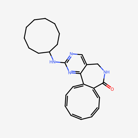 O=C1NCc2cnc(NC3CCCCCCCCC3)nc2-c2ccccccccc21